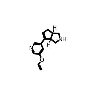 C=COc1cncc(C2=CC[C@@H]3CNC[C@H]23)c1